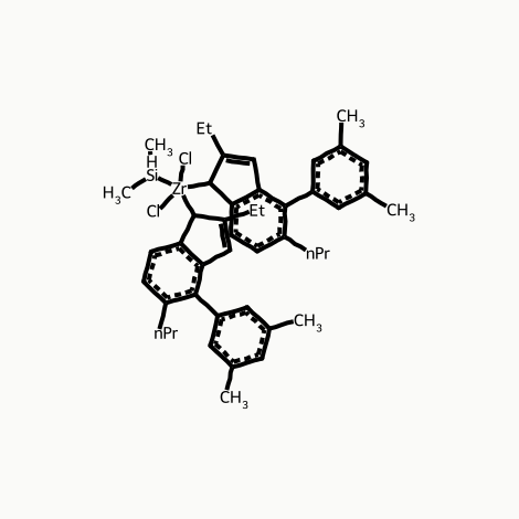 CCCc1ccc2c(c1-c1cc(C)cc(C)c1)C=C(CC)[CH]2[Zr]([Cl])([Cl])([CH]1C(CC)=Cc2c1ccc(CCC)c2-c1cc(C)cc(C)c1)[SiH](C)C